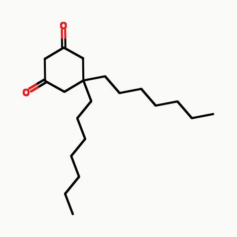 CCCCCCCC1(CCCCCCC)CC(=O)CC(=O)C1